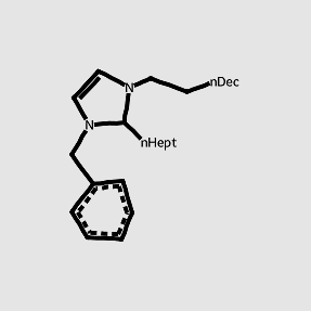 CCCCCCCCCCCCN1C=CN(Cc2ccccc2)C1CCCCCCC